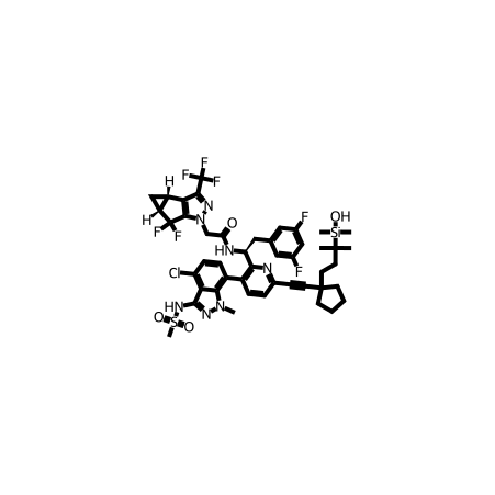 Cn1nc(NS(C)(=O)=O)c2c(Cl)ccc(-c3ccc(C#CC4(CCC(C)(C)[Si](C)(C)O)CCCC4)nc3[C@H](Cc3cc(F)cc(F)c3)NC(=O)Cn3nc(C(F)(F)F)c4c3C(F)(F)[C@@H]3C[C@H]43)c21